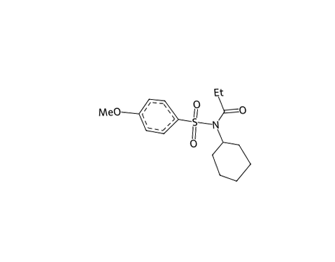 CCC(=O)N(C1CCCCC1)S(=O)(=O)c1ccc(OC)cc1